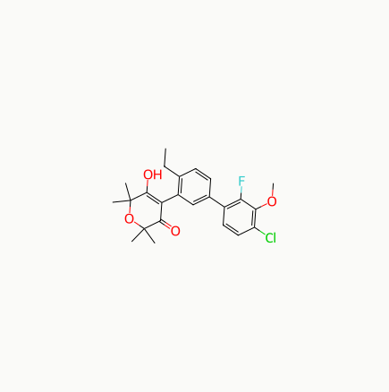 CCc1ccc(-c2ccc(Cl)c(OC)c2F)cc1C1=C(O)C(C)(C)OC(C)(C)C1=O